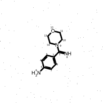 N=C(c1ccc(N)cc1)N1CCOCC1